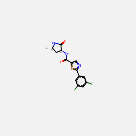 C[C@H]1C[C@H](NC(=O)c2cnc(-c3cc(F)cc(Cl)c3)s2)C(=O)N1